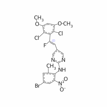 COc1cc(OC)c(Cl)c(/C(F)=C/c2cnc(Nc3c(C)cc(Br)cc3[N+](=O)[O-])nc2)c1Cl